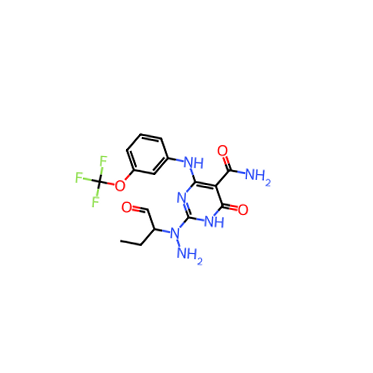 CCC(C=O)N(N)c1nc(Nc2cccc(OC(F)(F)F)c2)c(C(N)=O)c(=O)[nH]1